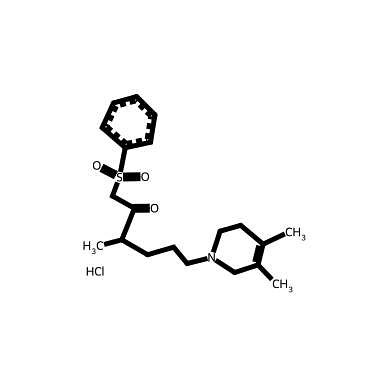 CC1=C(C)CN(CCCC(C)C(=O)CS(=O)(=O)c2ccccc2)CC1.Cl